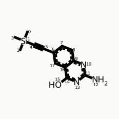 C[Si](C)(C)C#Cc1ccc2nc(N)nc(O)c2c1